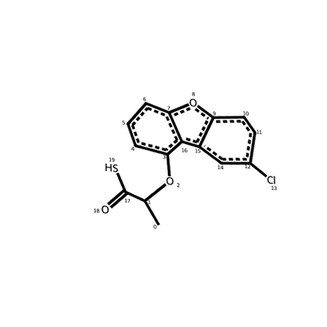 CC(Oc1cccc2oc3ccc(Cl)cc3c12)C(=O)S